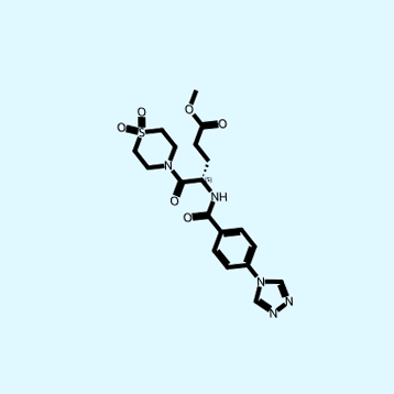 COC(=O)CC[C@H](NC(=O)c1ccc(-n2cnnc2)cc1)C(=O)N1CCS(=O)(=O)CC1